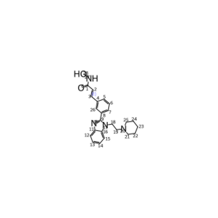 O=C(/C=C/c1cccc(-c2nc3ccccc3n2CCN2CCCCC2)c1)NO